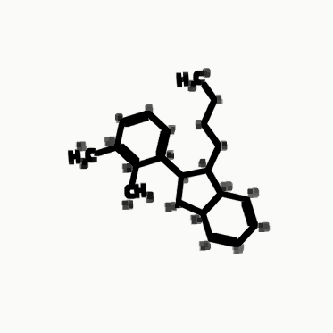 CCCCC1C(c2cccc(C)c2C)[C]C2C=CC=CC21